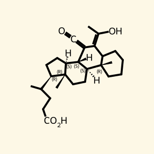 CC(O)=C1C(=C=O)[C@H]2[C@@H]3CC[C@H](C(C)CCC(=O)O)[C@@]3(C)CC[C@@H]2[C@@]2(C)CCCCC12